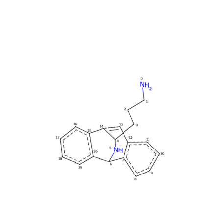 NCCCC1NC2c3ccccc3C=C1c1ccccc12